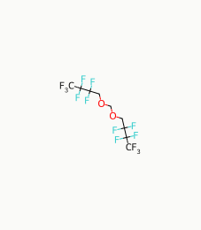 FC(F)(F)C(F)(F)C(F)(F)COCOCC(F)(F)C(F)(F)C(F)(F)F